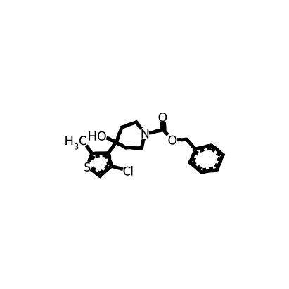 Cc1scc(Cl)c1C1(O)CCN(C(=O)OCc2ccccc2)CC1